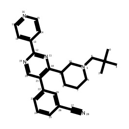 CC(C)(C)CN1CCCC(c2nc(-c3ccncc3)ncc2-c2cccc(C#N)c2)C1